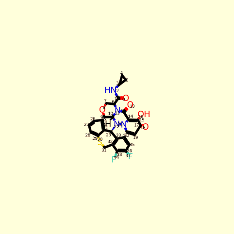 O=C(NC1CC1)C1COC[C@@H]2N1C(=O)c1c(O)c(=O)ccn1N2[C@@H]1c2ccccc2SCc2c1ccc(F)c2F